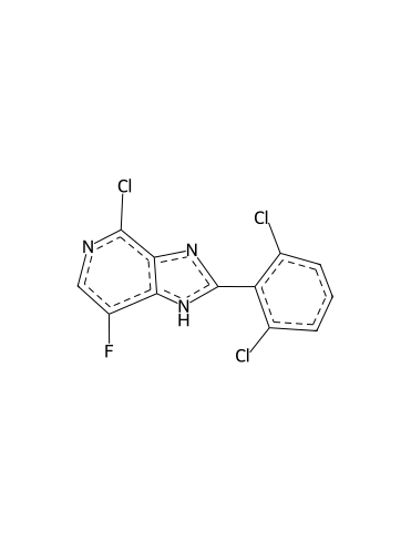 Fc1cnc(Cl)c2nc(-c3c(Cl)cccc3Cl)[nH]c12